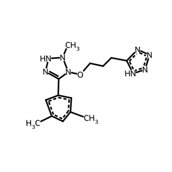 Cc1cc(C)cc(C2=NNN(C)N2OCCCc2nnn[nH]2)c1